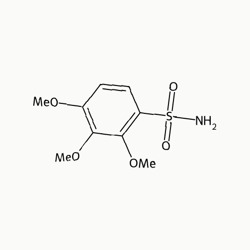 COc1ccc(S(N)(=O)=O)c(OC)c1OC